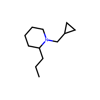 CCCC1CCCCN1CC1CC1